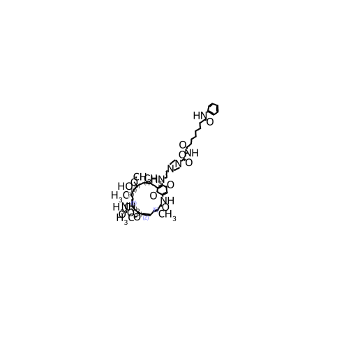 CO[C@H]1/C=C\C=C(/C)C(=O)NC2=CC(=O)C(NCCN3CCN(C(=O)ONC(=O)CCCCCCC(=O)Nc4ccccc4)CC3)=C(C[C@@H](C)C[C@H](OC)[C@@H](O)[C@@H](C)/C=C(\C)[C@@H]1OC(N)=O)C2=O